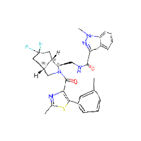 Cc1cccc(-c2sc(C)nc2C(=O)N2C[C@@H]3CC(F)(F)C[C@@H]3[C@H]2CNC(=O)c2nn(C)c3ccccc23)c1